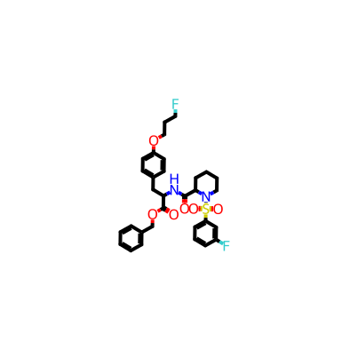 O=C(OCc1ccccc1)C(Cc1ccc(OCCCF)cc1)NC(=O)C1CCCCN1S(=O)(=O)c1cccc(F)c1